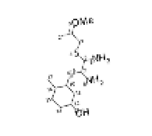 COC(C)CSC(N)C(N)SC1CC(O)CCC1C